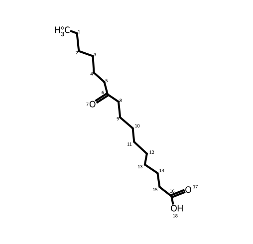 CCCCCCC(=O)CCCCCCCCC(=O)O